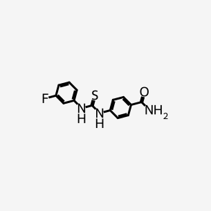 NC(=O)c1ccc(NC(=S)Nc2cccc(F)c2)cc1